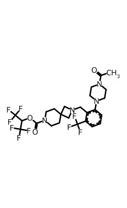 CC(=O)N1CCN(c2cccc(C(F)(F)F)c2CN2CC3(CCN(C(=O)OC(C(F)(F)F)C(F)(F)F)CC3)C2)CC1